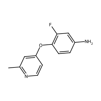 Cc1cc(Oc2ccc(N)cc2F)ccn1